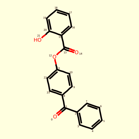 O=C(c1ccccc1)c1ccc(OC(=O)c2ccccc2O)cc1